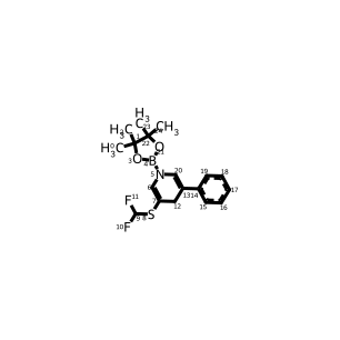 CC1(C)OB(N2C=C(SC(F)F)CC(c3ccccc3)=C2)OC1(C)C